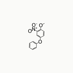 COc1ccc(Oc2ccccc2)cc1[N+](=O)[O-]